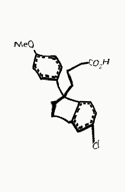 COc1ccc(C2(CCC(=O)O)CCc3cc(Cl)ccc32)cc1